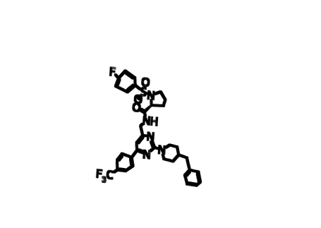 O=C(NCc1cc(-c2ccc(C(F)(F)F)cc2)nc(N2CCC(Cc3ccccc3)CC2)n1)[C@@H]1CCCN1S(=O)(=O)c1ccc(F)cc1